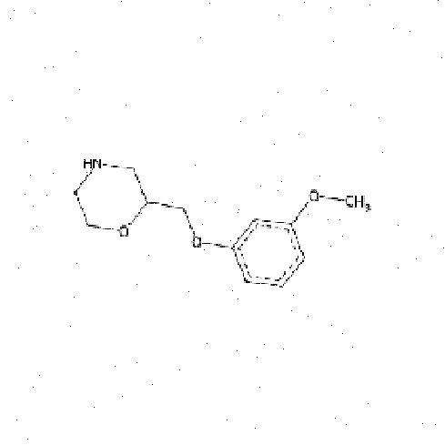 COc1cccc(OCC2CNCCO2)c1